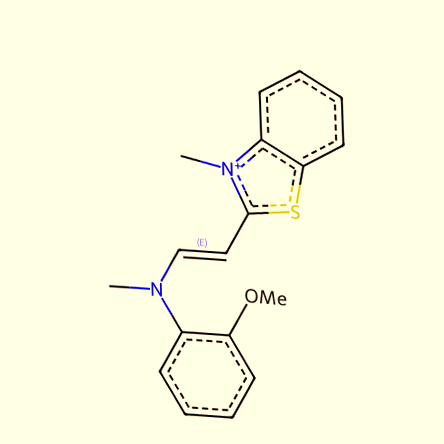 COc1ccccc1N(C)/C=C/c1sc2ccccc2[n+]1C